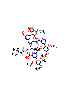 C=C(C)C(=O)NCCCC1CN(Cc2cc(-c3c(OC)cc(OC)cc3OC)cc(C=O)n2)CCN(Cc2cc(-c3c(OC)cc(OC)cc3OC)ccn2)CCN(Cc2cc(-c3c(OC)cc(OC)cc3OC)cc(C(=O)O)n2)C1